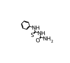 NC(=O)NC(=S)Nc1ccccc1